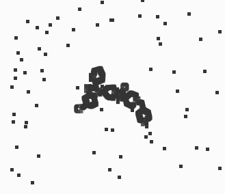 O=C(N1CCC(n2c(-c3ccccn3)nc3cc(Cl)ccc32)CC1)C1(F)CCN(Cc2ccncc2)CC1